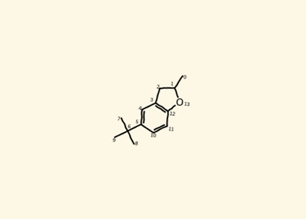 CC1Cc2cc(C(C)(C)C)ccc2O1